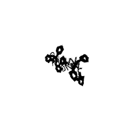 c1ccc(-c2nc(-c3cccc4c3oc3cccc(-c5nc(-c6ccccc6)c6oc7ccccc7c6n5)c34)nc(-c3cccc4c3sc3ccccc34)n2)cc1